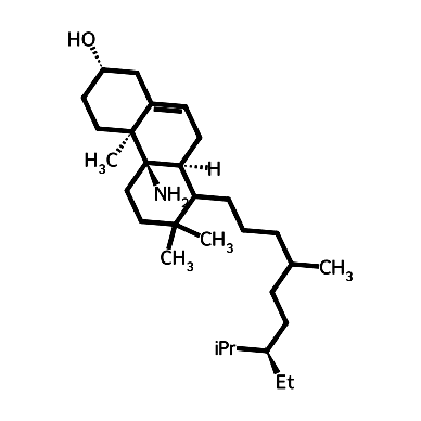 CC[C@H](CCC(C)CCCC1[C@@H]2CC=C3C[C@@H](O)CC[C@]3(C)[C@@]2(N)CCC1(C)C)C(C)C